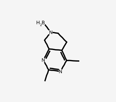 BN1CCc2c(C)nc(C)nc2C1